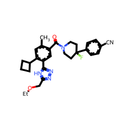 CCOCc1nnc(-c2cc(C(=O)N3CCC(F)(c4ccc(C#N)cc4)CC3)c(C)cc2C2CCC2)[nH]1